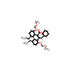 CCc1ccc(OCOC)c(C(Cc2ccccc2)=C(C(=O)O)c2cc(CC)ccc2OCOC)c1